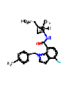 C[C@H]1C2(CC(=O)O)CC1(NC(=O)c1ccc(F)c3ccn(Cc4ccc(C(F)(F)F)cc4)c13)C2